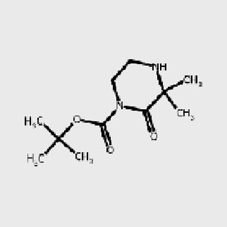 CC(C)(C)OC(=O)N1CCNC(C)(C)C1=O